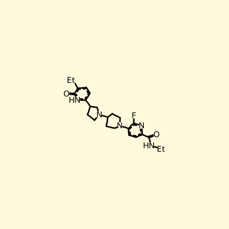 CCNC(=O)c1ccc(N2CCC(N3CCC(c4ccc(CC)c(=O)[nH]4)C3)CC2)c(F)n1